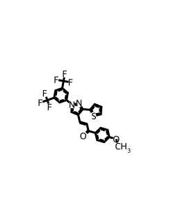 COc1ccc(C(=O)C=Cc2cn(-c3cc(C(F)(F)F)cc(C(F)(F)F)c3)nc2-c2cccs2)cc1